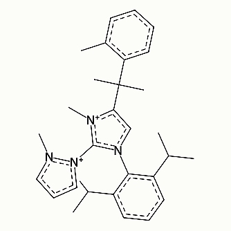 Cc1ccccc1C(C)(C)c1cn(-c2c(C(C)C)cccc2C(C)C)c(-[n+]2cccn2C)[n+]1C